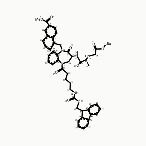 COC(=O)c1ccc2c(CN3C(=O)[C@@H](NC(=O)[C@H](C)NCC(=O)OC(C)(C)C)CN(C(=O)CCCCNC(=O)OCC4c5ccccc5-c5ccccc54)c4ccccc43)c(OC)ccc2c1